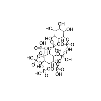 O=P(O)(O)OC1C(O)C(O)C(O)C(O)C1OP(=O)(O)O[C@@H]1[C@@H](OP(=O)(O)O)[C@H](OP(=O)(O)O)[C@@H](OP(=O)(O)O)[C@H](OP(=O)(O)O)[C@@H]1OP(=O)(O)O